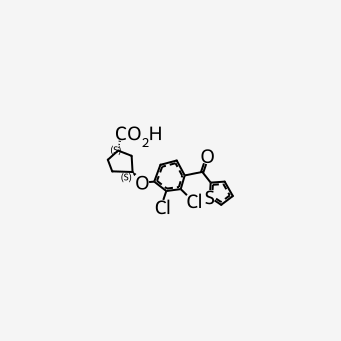 O=C(c1cccs1)c1ccc(O[C@H]2CC[C@H](C(=O)O)C2)c(Cl)c1Cl